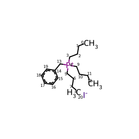 CCCC[P+](CCCC)(CCCC)Cc1ccccc1.[I-]